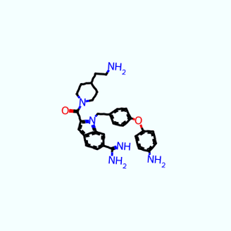 N=C(N)c1ccc2cc(C(=O)N3CCC(CCN)CC3)n(Cc3ccc(Oc4ccc(N)cc4)cc3)c2c1